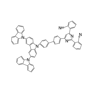 N#Cc1ccccc1-c1cc(-c2ccc(-c3ccc(-n4c5ccc(-n6c7ccccc7c7ccccc76)cc5c5cc(-n6c7ccccc7c7ccccc76)ccc54)cc3)cc2)nc(-c2ccccc2C#N)n1